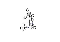 C=C/C=C\C(=C)C(=N)c1sc2ccccc2c1/N=C/c1ccc2c(c1)oc1c(-c3nc(-c4ccccc4)cc(-c4ccccc4)n3)cccc12